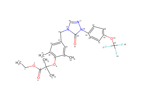 CCOC(=O)C(C)(C)Oc1c(C)cc(Cn2cnn(-c3ccc(OC(F)(F)F)cc3)c2=O)cc1C